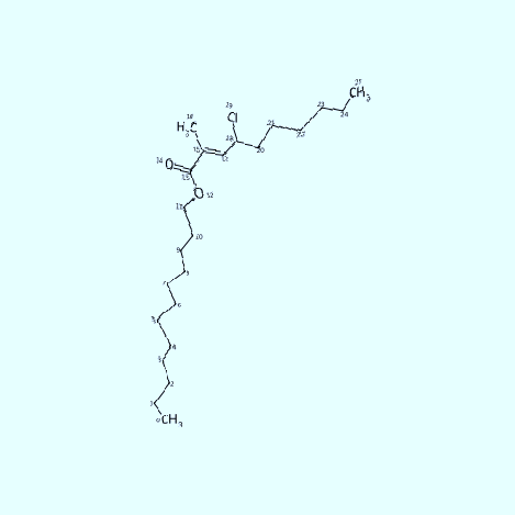 CCCCCCCCCCCCOC(=O)C(C)=CC(Cl)CCCCCC